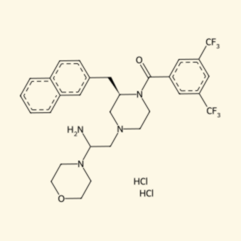 Cl.Cl.NC(CN1CCN(C(=O)c2cc(C(F)(F)F)cc(C(F)(F)F)c2)[C@H](Cc2ccc3ccccc3c2)C1)N1CCOCC1